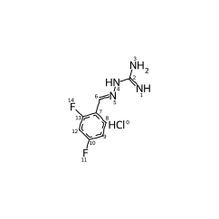 Cl.N=C(N)N/N=C/c1ccc(F)cc1F